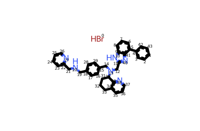 Br.c1ccc(-c2cccc3[nH]c(CN(Cc4ccc(CNCc5ccccn5)cc4)C4CCCc5cccnc54)nc23)cc1